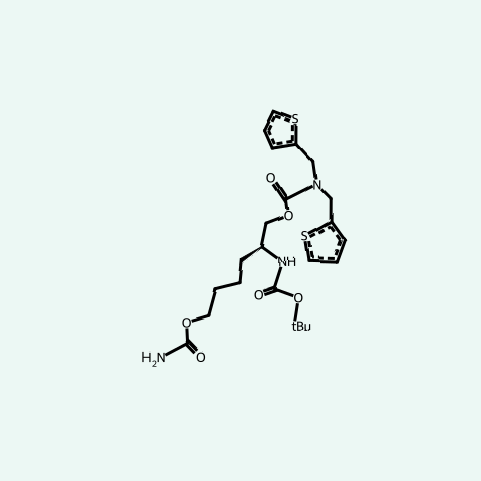 CC(C)(C)OC(=O)N[C@@H](CCCCOC(N)=O)COC(=O)N(Cc1cccs1)Cc1cccs1